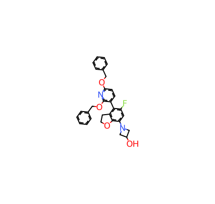 OC1CN(c2cc(F)c(-c3ccc(OCc4ccccc4)nc3OCc3ccccc3)c3c2OCC3)C1